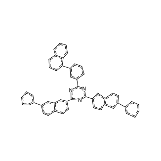 c1ccc(-c2ccc3cc(-c4nc(-c5cccc(-c6cccc7ccccc67)c5)nc(-c5ccc6ccc(-c7ccccc7)cc6c5)n4)ccc3c2)cc1